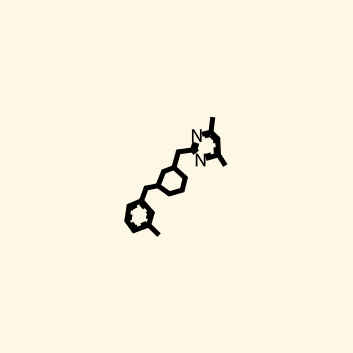 Cc1cccc(CC2CCCC(Cc3nc(C)cc(C)n3)C2)c1